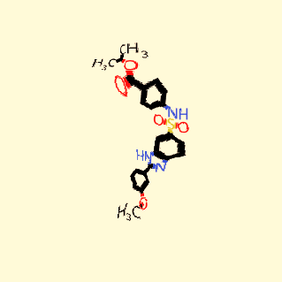 COc1cccc(-c2nc3ccc(S(=O)(=O)Nc4ccc(C(=O)OC(C)C)cc4)cc3[nH]2)c1